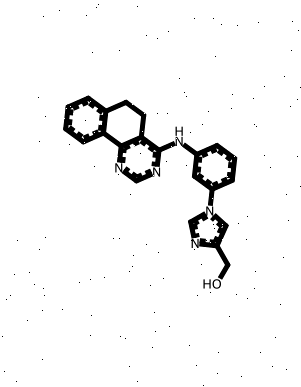 OCc1cn(-c2cccc(Nc3ncnc4c3CCc3ccccc3-4)c2)cn1